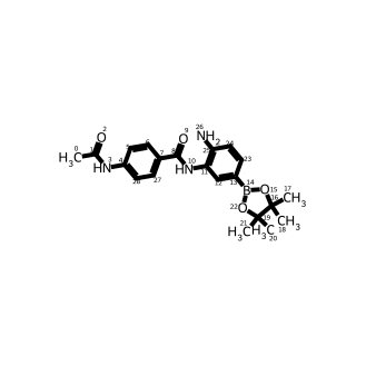 CC(=O)Nc1ccc(C(=O)Nc2cc(B3OC(C)(C)C(C)(C)O3)ccc2N)cc1